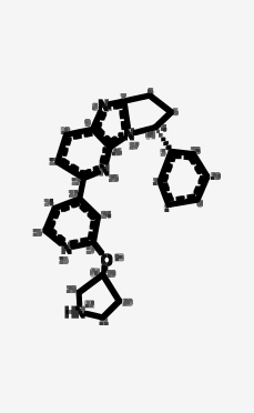 c1ccc([C@H]2CCc3nc4ccc(-c5ccnc(O[C@H]6CCNC6)c5)nc4n32)cc1